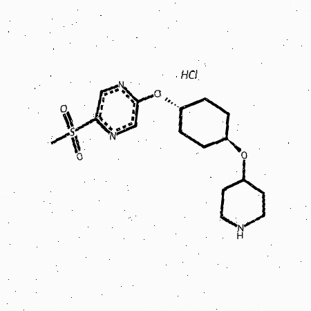 CS(=O)(=O)c1cnc(O[C@H]2CC[C@H](OC3CCNCC3)CC2)cn1.Cl